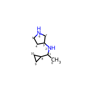 CC(NC1CCNC1)C1CC1